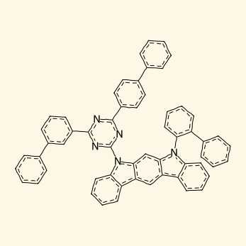 c1ccc(-c2ccc(-c3nc(-c4cccc(-c5ccccc5)c4)nc(-n4c5ccccc5c5cc6c7ccccc7n(-c7ccccc7-c7ccccc7)c6cc54)n3)cc2)cc1